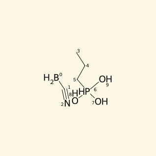 BC#N.CCC[PH](O)(O)O